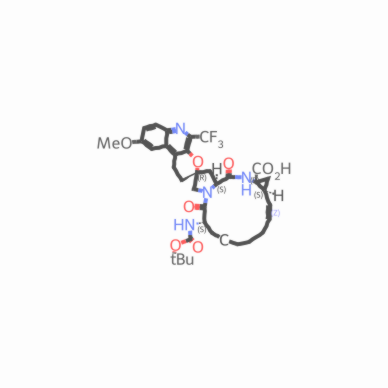 COc1ccc2nc(C(F)(F)F)c3c(c2c1)CC[C@]1(C[C@H]2C(=O)N[C@]4(C(=O)O)C[C@H]4/C=C\CCCCC[C@H](NC(=O)OC(C)(C)C)C(=O)N2C1)O3